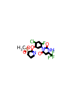 CS(=O)(=O)c1cccnc1Oc1cc(-n2c(=O)cc(C(F)(F)F)[nH]c2=O)c(F)cc1Cl